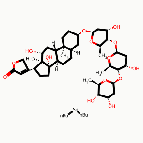 CCC[CH2][Sn][CH2]CCC.C[C@H]1O[C@@H](O[C@H]2[C@@H](O)C[C@H](O[C@H]3[C@@H](O)C[C@H](O[C@H]4CC[C@@]5(C)[C@H](CC[C@@H]6[C@@H]5C[C@@H](O)[C@]5(C)[C@@H](C7=CC(=O)OC7)CC[C@]65O)C4)O[C@@H]3C)O[C@@H]2C)C[C@H](O)[C@@H]1O